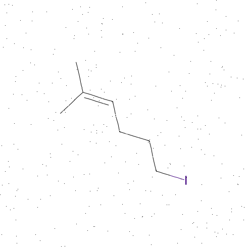 CC(C)=CCCCI